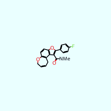 CNC(=O)c1c(-c2ccc(F)cc2)oc2ccc3c(c12)CC=CCO3